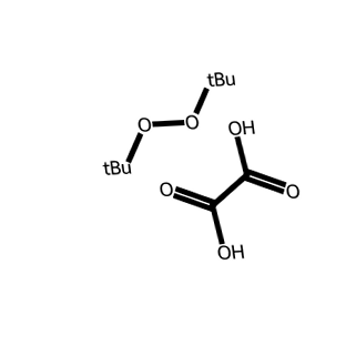 CC(C)(C)OOC(C)(C)C.O=C(O)C(=O)O